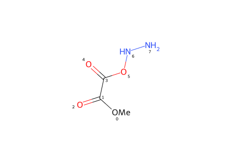 COC(=O)C(=O)ONN